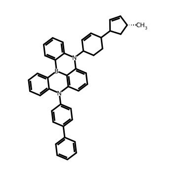 C[C@H]1C=CC(C2C=CC(N3c4ccccc4B4c5ccccc5N(c5ccc(-c6ccccc6)cc5)c5cccc3c54)CC2)C1